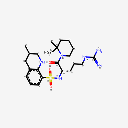 CC1CNc2c(cccc2S(=O)(=O)N[C@@H](CCCNC(=N)N)C(=O)N2CCCCC2(C)C(=O)O)C1